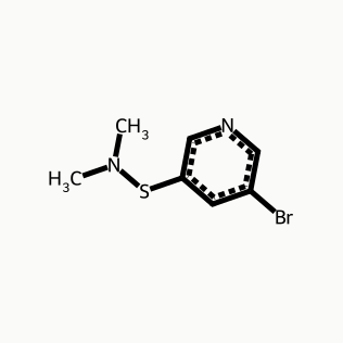 CN(C)Sc1cncc(Br)c1